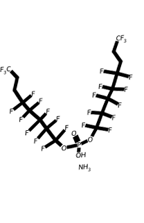 N.O=P(O)(OC(F)(F)C(F)(F)C(F)(F)C(F)(F)C(F)(F)CCC(F)(F)F)OC(F)(F)C(F)(F)C(F)(F)C(F)(F)C(F)(F)CCC(F)(F)F